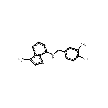 Cc1ccc(CNc2nccn3c(N)nnc23)cc1C